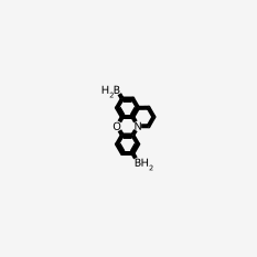 Bc1cc2c3c(c1)Oc1ccc(B)cc1N3CCC2